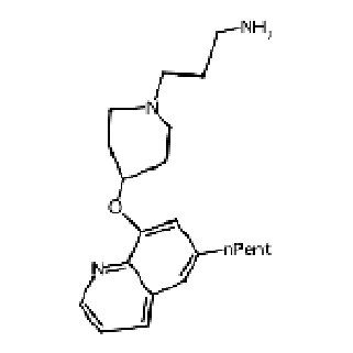 CCCCCc1cc(OC2CCN(CCCN)CC2)c2ncccc2c1